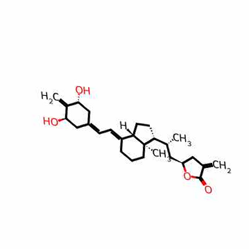 C=C1C[C@H](C[C@@H](C)[C@H]2CC[C@H]3/C(=C/C=C4C[C@@H](O)C(=C)[C@H](O)C4)CCC[C@]23C)OC1=O